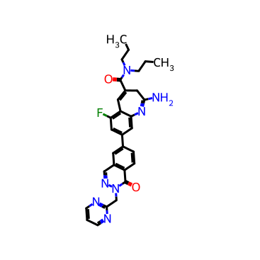 CCCN(CCC)C(=O)C1=Cc2c(F)cc(-c3ccc4c(=O)n(Cc5ncccn5)ncc4c3)cc2N=C(N)C1